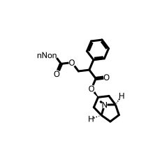 CCCCCCCCCC(=O)OCC(C(=O)O[C@H]1C[C@H]2CC[C@@H](C1)N2C)c1ccccc1